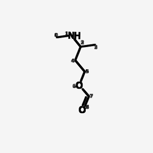 CNC(C)CCOC=O